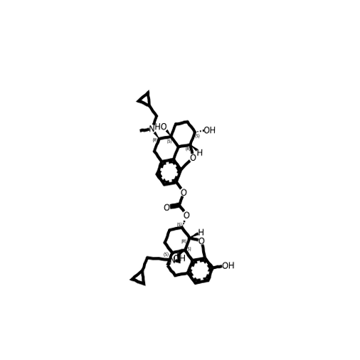 CN(CC1CC1)[C@@H]1Cc2ccc(OC(=O)O[C@H]3CC[C@@]4(O)C5Cc6ccc(O)c7c6[C@@]4(CCN5CC4CC4)[C@H]3O7)c3c2C2[C@@H](O3)[C@@H](O)CC[C@]21O